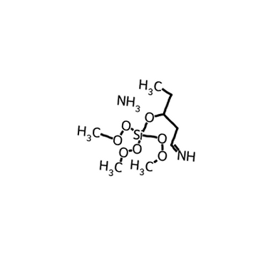 CCC(CC=N)O[Si](OOC)(OOC)OOC.N